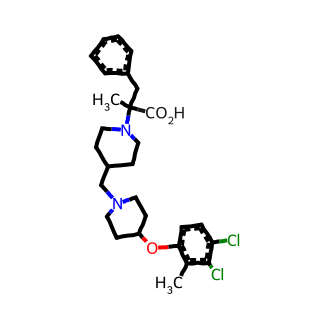 Cc1c(OC2CCN(CC3CCN(C(C)(Cc4ccccc4)C(=O)O)CC3)CC2)ccc(Cl)c1Cl